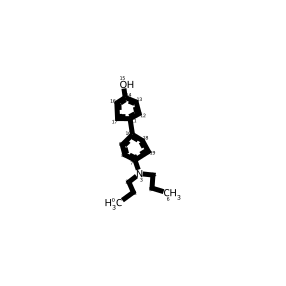 CCCN(CCC)c1ccc(-c2ccc(O)cc2)cc1